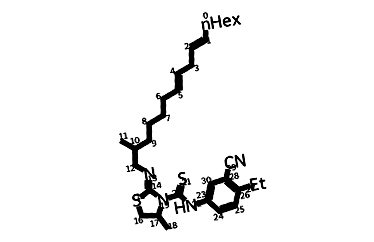 CCCCCCC=CCC=CCCCCC(C)CN=C1SCC(C)N1C(=S)Nc1ccc(CC)c(C#N)c1